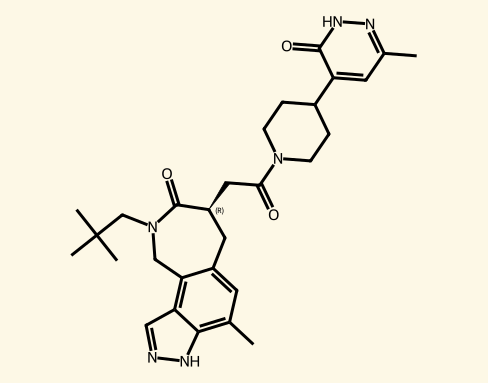 Cc1cc(C2CCN(C(=O)C[C@H]3Cc4cc(C)c5[nH]ncc5c4CN(CC(C)(C)C)C3=O)CC2)c(=O)[nH]n1